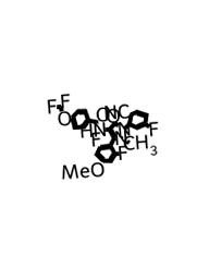 COc1cc(F)c(-c2c(NC(=O)c3ccc(OC(F)F)cc3)c(=O)n(C3C=C(F)C=CC3C#N)n2C)c(F)c1